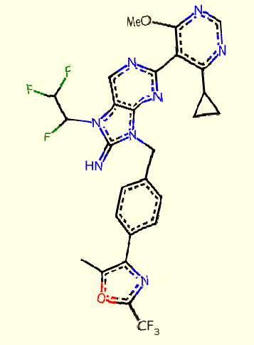 COc1ncnc(C2CC2)c1-c1ncc2c(n1)n(Cc1ccc(-c3nc(C(F)(F)F)oc3C)cc1)c(=N)n2C(F)C(F)F